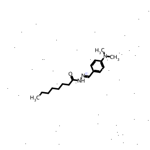 CCCCCCCC(=O)N/N=C/c1ccc(N(C)C)cc1